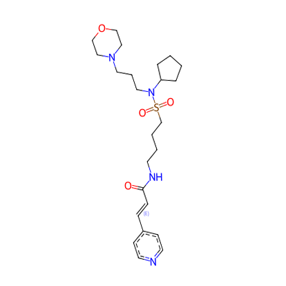 O=C(/C=C/c1ccncc1)NCCCCS(=O)(=O)N(CCCN1CCOCC1)C1CCCC1